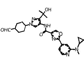 CN(c1cc(-c2nc(C(=O)Nc3cn(C4CCC(C=O)CC4)nc3C(C)(C)O)co2)ccn1)C1CC1